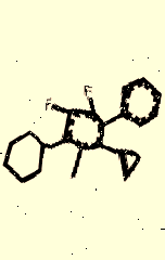 Cc1c(C2CCCCC2)c(F)c(F)c(-c2ccccc2)c1C1CC1